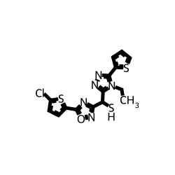 CCn1c(-c2cccs2)nnc1C(S)c1noc(-c2ccc(Cl)s2)n1